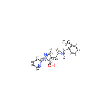 CN(Cc1ccccc1C(F)(F)F)C1CCc2nn(-c3ccccn3)c(O)c2C1